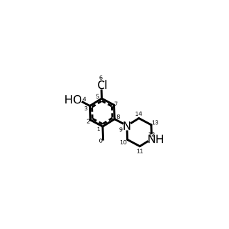 Cc1cc(O)c(Cl)cc1N1CCNCC1